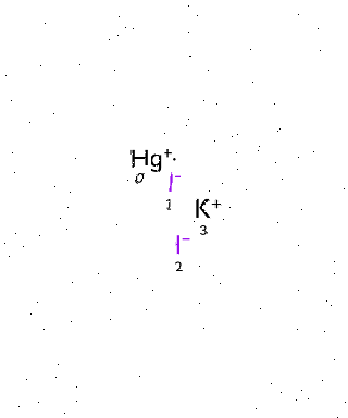 [Hg+].[I-].[I-].[K+]